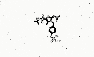 CC(=O)/N=c1/sc(S(=O)(=O)NC(C)C)c(C)n1Cc1ccc(OP(=O)(O)O)cc1